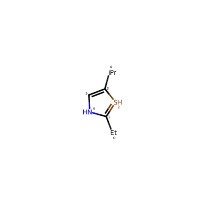 CCC1=[SH]C(C(C)C)=CN1